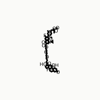 COc1c(N2CCN(Cc3oc(=O)oc3C)C(C)C2)c(F)cc2c(=O)c(C(=O)OCCOCCOCC[CH]C(=O)[C@]3(O)CC[C@@H]4[C@H]5CCC6=CC(=O)C=C[C@@]6(C)[C@@H]5[C@H](O)C[C@]43C)cn(C3CC3)c12